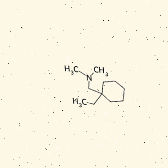 CCC1(CN(C)C)CCCCC1